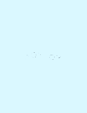 Nc1ccc(N2CCC(Oc3cccc(NC(=O)O)c3)CC2)c(Cl)c1